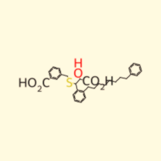 O=C(O)c1cccc(CSC(c2ccccc2CCCCCCCCc2ccccc2)C(O)C(=O)O)c1